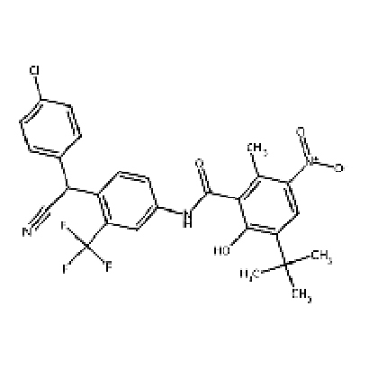 Cc1c([N+](=O)[O-])cc(C(C)(C)C)c(O)c1C(=O)Nc1ccc(C(C#N)c2ccc(Cl)cc2)c(C(F)(F)F)c1